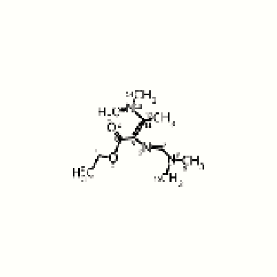 CCOC(=O)C(N=CN(C)C)=C(C)N(C)C